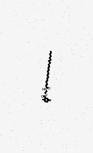 CCCCCCCCCC=CC=CC=CC=CC=CC=CC(=O)NCCOC(=O)c1cc(F)ccc1C